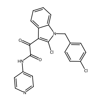 O=C(Nc1ccncc1)C(=O)c1c(Cl)n(Cc2ccc(Cl)cc2)c2ccccc12